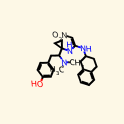 CN(C)C(Cc1ccc(O)cc1)C1(NC(=C[N+](=O)[O-])NC2CCc3ccccc3C2)CC1